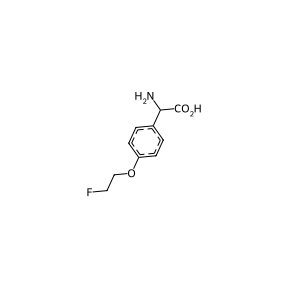 NC(C(=O)O)c1ccc(OCCF)cc1